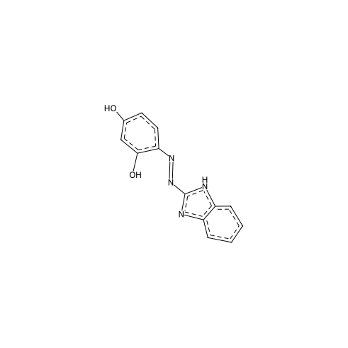 Oc1ccc(N=Nc2nc3ccccc3[nH]2)c(O)c1